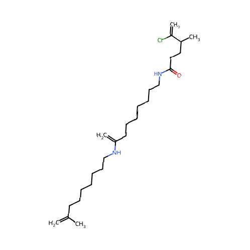 C=C(C)CCCCCCCNC(=C)CCCCCCCNC(=O)CCC(C)C(=C)Cl